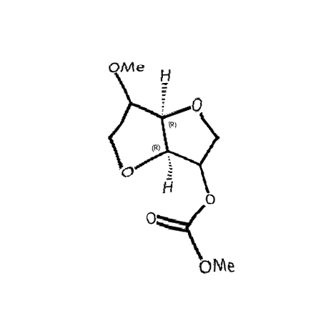 COC(=O)OC1CO[C@@H]2C(OC)CO[C@H]12